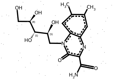 Cc1cc2nc(C(N)=O)c(=O)n(C[C@H](O)[C@H](O)[C@H](O)CO)c2cc1C